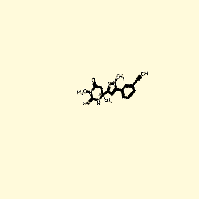 C#Cc1cccc(-c2cc([C@]3(C)CC(=O)N(C)C(=N)N3)nn2C)c1